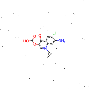 Nc1cc2c(cc1Cl)c(=O)c(OC(=O)O)cn2C1CC1